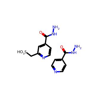 NNC(=O)c1ccnc(CS(=O)(=O)O)c1.NNC(=O)c1ccncc1